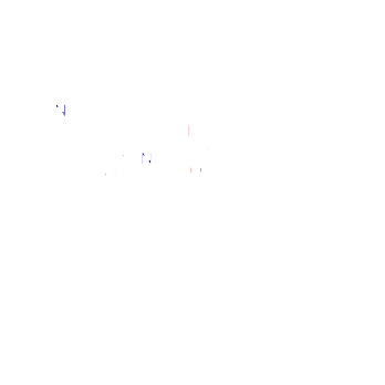 CC(=O)O.CCCCCCCCCCCCNC(=O)CCCN(C)C